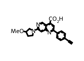 C#Cc1ccc(-c2cc(C(=O)O)c3cnc(N4CCC(OC)C4)cc3n2)cc1